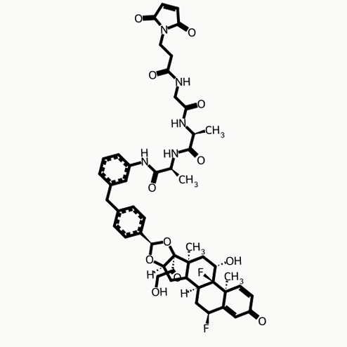 C[C@H](NC(=O)CNC(=O)CCN1C(=O)C=CC1=O)C(=O)N[C@@H](C)C(=O)Nc1cccc(Cc2ccc([C@@H]3O[C@@H]4CC5[C@@H]6C[C@H](F)C7=CC(=O)C=C[C@]7(C)[C@@]6(F)[C@@H](O)C[C@]5(C)[C@]4(C(=O)CO)O3)cc2)c1